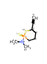 C#CC1CCCP(=S)(N(C)C)S1